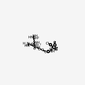 COc1ccc2c(c1)C(c1ccc(Cl)cc1)=N[C@@H](CC(=O)Nc1ccc(OCCOCCOCCNC(=O)C(CCCNC(=N)N)NC(=O)C(N)CCCNC(=N)N)cc1)c1nnc(C)n1-2